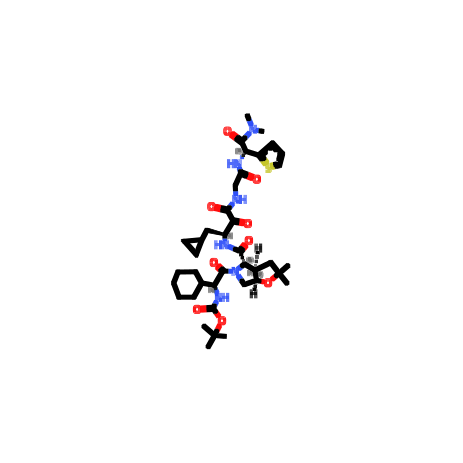 CN(C)C(=O)[C@@H](NC(=O)CNC(=O)C(=O)[C@H](CC1CC1)NC(=O)[C@@H]1[C@H]2CC(C)(C)O[C@H]2CN1C(=O)[C@@H](NC(=O)OC(C)(C)C)C1CCCCC1)c1cccs1